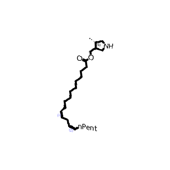 CCCCC/C=C\C/C=C\CCCCCCCCCC(=O)OCC1CNC[C@H]1C